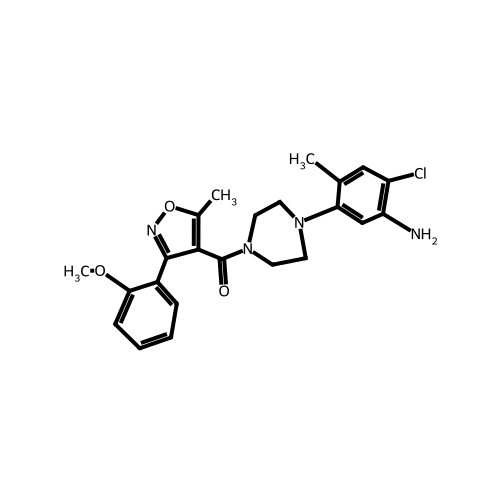 COc1ccccc1-c1noc(C)c1C(=O)N1CCN(c2cc(N)c(Cl)cc2C)CC1